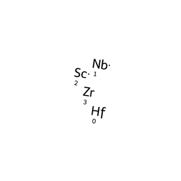 [Hf].[Nb].[Sc].[Zr]